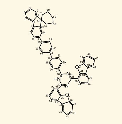 c1ccc2c(c1)-c1ccc(-c3ccc(-c4ccc(-c5nc(-c6cccc7c6oc6ccccc67)nc(-c6cccc7c6oc6ccccc67)n5)cc4)cc3)cc1C21CCCCC1